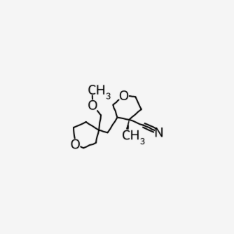 COCC1(CC2COCC[C@]2(C)C#N)CCOCC1